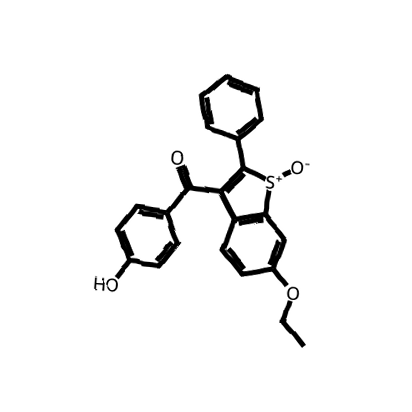 CCOc1ccc2c(C(=O)c3ccc(O)cc3)c(-c3ccccc3)[s+]([O-])c2c1